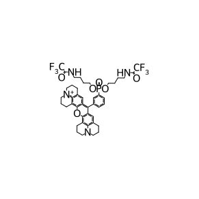 O=C(NCCCCOP(=O)(OCCCCNC(=O)C(F)(F)F)c1cccc(C2=c3cc4c5c(c3Oc3c2cc2c6c3CCCN6CCC2)CCC[N+]=5CCC4)c1)C(F)(F)F